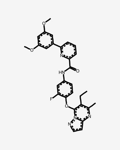 CCc1c(C)nc2ccnn2c1Oc1ccc(NC(=O)c2cccc(-c3cc(OC)cc(OC)c3)n2)cc1F